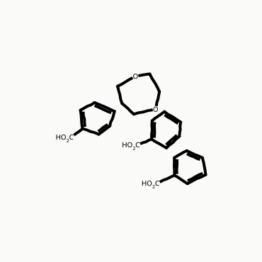 C1COCCOC1.O=C(O)c1ccccc1.O=C(O)c1ccccc1.O=C(O)c1ccccc1